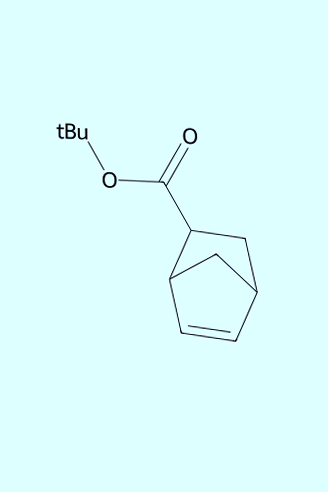 CC(C)(C)OC(=O)C1CC2C=CC1C2